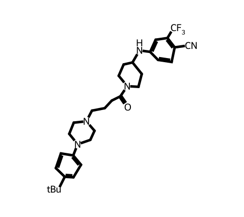 CC(C)(C)c1ccc(N2CCN(CCCC(=O)N3CCC(Nc4ccc(C#N)c(C(F)(F)F)c4)CC3)CC2)cc1